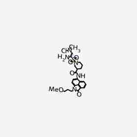 COCCCN1C(=O)c2cccc3c(NC(=O)C4CCCN(S(=O)(=O)/C(N)=C/N(C)Cl)C4)ccc1c23